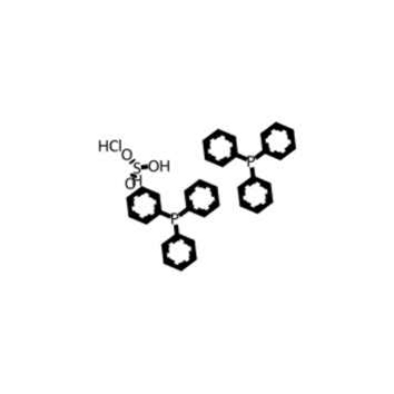 Cl.O=[SH](=O)O.c1ccc(P(c2ccccc2)c2ccccc2)cc1.c1ccc(P(c2ccccc2)c2ccccc2)cc1